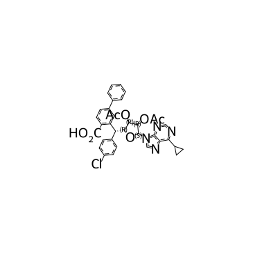 CC(=O)O[C@@H]1[C@H](OC(C)=O)[C@@H](C(c2ccc(Cl)cc2)c2cc(-c3ccccc3)ccc2C(=O)O)O[C@@H]1n1cnc2c(C3CC3)ncnc21